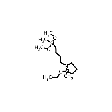 CCO[Si]1(C)CCCN1CCCC[Si](C)(OC)OC